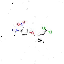 CC(=CC=C(Cl)Cl)COc1ccc(N)c([N+](=O)[O-])c1